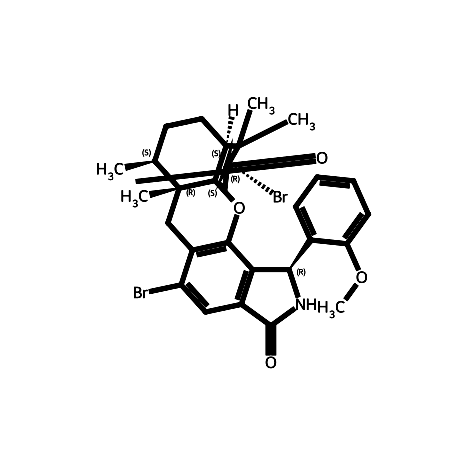 COc1ccccc1[C@H]1NC(=O)c2cc(Br)c3c(c21)O[C@@]12C[C@@H](Br)C(=O)C(C)(C)[C@@H]1CC[C@H](C)[C@@]2(C)C3